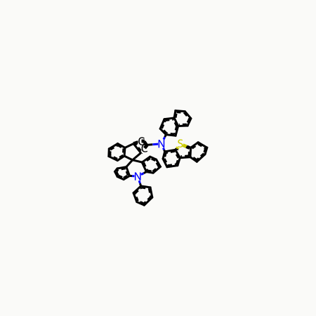 c1ccc(N2c3ccccc3C3(c4ccccc4-c4ccc(N(c5ccc6ccccc6c5)c5cccc6c5sc5ccccc56)cc43)c3ccccc32)cc1